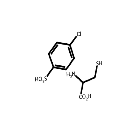 NC(CS)C(=O)O.O=S(=O)(O)c1ccc(Cl)cc1